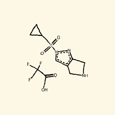 O=C(O)C(F)(F)F.O=S(=O)(C1CC1)n1cc2c(n1)CNC2